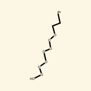 CC(C)CCOOOOOOOO